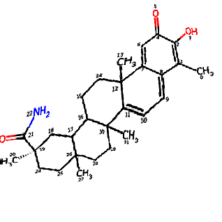 CC1=C(O)C(=O)C=C2C1=CC=C1C2(C)CCC2C3C[C@](C)(C(N)=O)CCC3(C)CCC12C